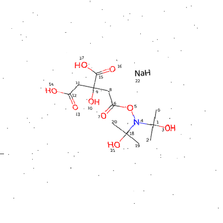 CC(C)(O)N(OC(=O)CC(O)(CC(=O)O)C(=O)O)C(C)(C)O.[NaH]